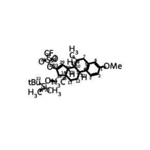 COc1ccc2c(c1)C[C@@H](C)[C@@H]1[C@@H]2CC[C@]2(C)[C@H](CO[Si](C)(C)C(C)(C)C)C(OS(=O)(=O)C(F)(F)F)=C[C@H]12